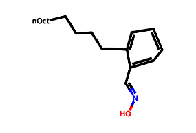 CCCCCCCCCCCCc1ccccc1C=NO